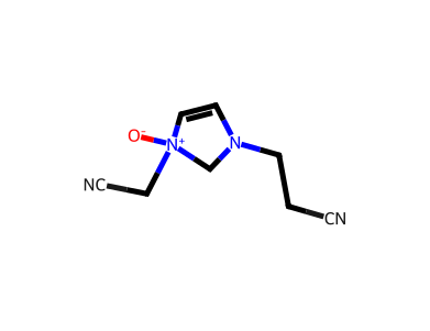 N#CCCN1C=C[N+]([O-])(CC#N)C1